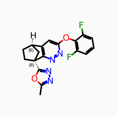 Cc1nnc([C@]23CC[C@H](C2)c2cc(Oc4c(F)cccc4F)nnc23)o1